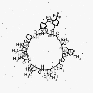 CC[C@H](C)[C@@H]1NC(=O)[C@H](CC(C)C)N(C)C(=O)C[C@@H](C(=O)N(C)C)N(C)C(=O)[C@H]([C@@H](C)CC)N(C)C(=O)C2(CCCC2)NC(=O)[C@H](Cc2ccc(C(F)F)cc2)N(C)C(=O)[C@H](CCc2ccc(C(F)(F)F)c(Cl)c2)NC(=O)CN(C)C(=O)[C@H](Cc2ccc(C)cc2)N(C)C(=O)[C@@H]2CCN2C(=O)[C@H](C)N(C)C1=O